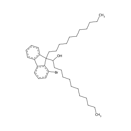 CCCCCCCCCCCC(O)C1(CCCCCCCCCCC)c2ccccc2-c2cccc(Br)c21